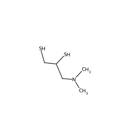 CN(C)CC(S)CS